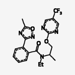 CCN(C(=O)c1ccccc1-c1noc(C)n1)C(C)COc1ncc(C(F)(F)F)cn1